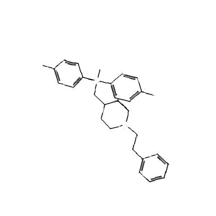 C[N+](CC1CCN(CCc2ccccc2)CC1)(c1ccc(F)cc1)c1ccc(F)cc1